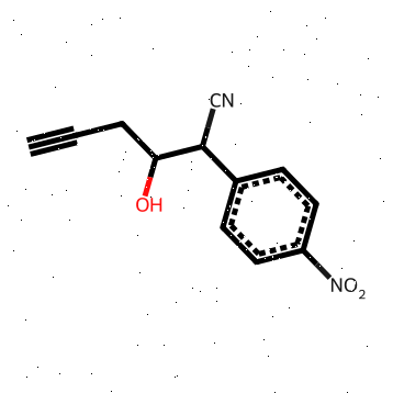 C#CCC(O)C(C#N)c1ccc([N+](=O)[O-])cc1